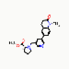 COC(=O)[C@@H]1CCCN1Cc1cncc(-c2ccc3c(c2)CCC(=O)N3C)c1